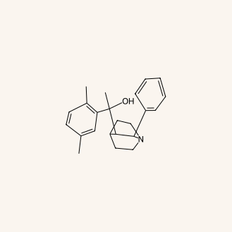 Cc1ccc(C)c(C(C)(O)C2C3CCN(CC3)C2c2ccccc2)c1